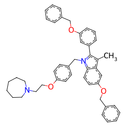 Cc1c(-c2cccc(OCc3ccccc3)c2)n(Cc2ccc(OCCN3CCCCCC3)cc2)c2ccc(OCc3ccccc3)cc12